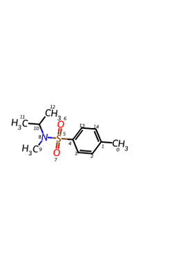 Cc1ccc(S(=O)(=O)N(C)C(C)C)cc1